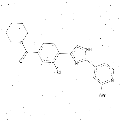 CCCc1cc(-c2nc(-c3ccc(C(=O)N4CCCCC4)cc3Cl)c[nH]2)ccn1